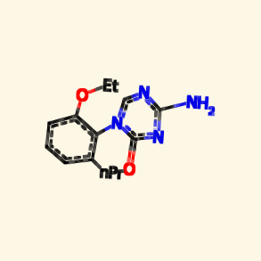 CCCc1cccc(OCC)c1-n1cnc(N)nc1=O